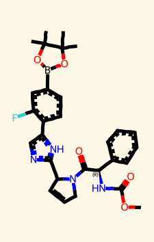 COC(=O)N[C@@H](C(=O)N1CC=CC1c1ncc(-c2ccc(B3OC(C)(C)C(C)(C)O3)cc2F)[nH]1)c1ccccc1